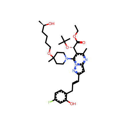 CCOC(=O)[C@@H](OC(C)(C)C)c1c(C)nc2cc(C=CCc3ccc(F)cc3O)nn2c1N1CCC(C)(OCCCC[C@@H](C)O)CC1